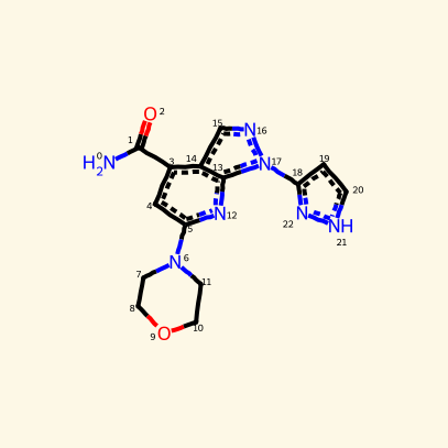 NC(=O)c1cc(N2CCOCC2)nc2c1cnn2-c1cc[nH]n1